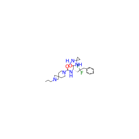 CCCN1CC2(CCN(C(=O)N[C@@H](CC(F)(F)Cc3ccccc3)C(=O)NC3(N)CC3)CC2)C1